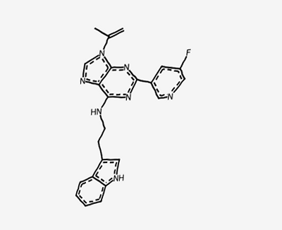 C=C(C)n1cnc2c(NCCc3c[nH]c4ccccc34)nc(-c3cncc(F)c3)nc21